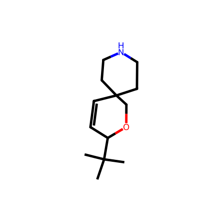 CC(C)(C)C1C=CC2(CCNCC2)CO1